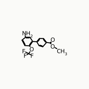 CCOC(=O)c1ccc(-c2cc(N)ccc2OC(F)(F)F)cc1